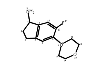 NC1CCc2cc(N3CCOCC3)c(F)cc21